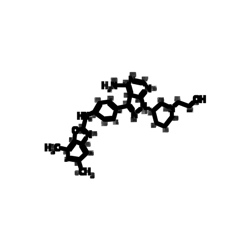 Cc1cc(C)c2oc(Nc3ccc(-c4nn([C@H]5CCCN(CCO)C5)c5ncnc(N)c45)cc3)nc2c1